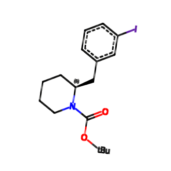 CC(C)(C)OC(=O)N1CCCC[C@H]1Cc1cccc(I)c1